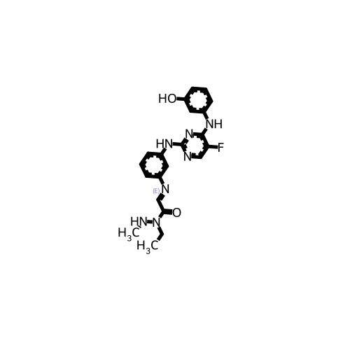 CCN(NC)C(=O)/C=N/c1cccc(Nc2ncc(F)c(Nc3cccc(O)c3)n2)c1